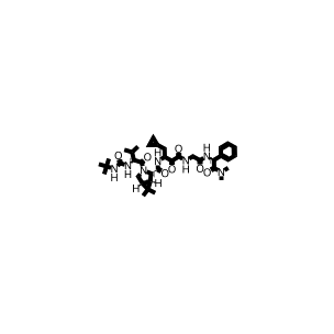 CC(C)[C@H](NC(=O)NC(C)(C)C)C(=O)N1C[C@H]2[C@@H]([C@H]1C(=O)NC(CC1CC1)C(=O)C(=O)NCC(=O)N[C@H](C(=O)N(C)C)c1ccccc1)C2(C)C